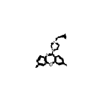 Cc1ccc2c(c1)Oc1cc(C)ccc1C(N1CCN(CC3CC3)CC1)=N2